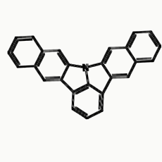 C1=C=Cc2cc3c(cc2C=1)c1cccc2c4cc5ccccc5cc4n3c12